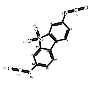 O=C=Nc1ccc2c(c1)S(=O)(=O)c1cc(N=C=O)ccc1-2